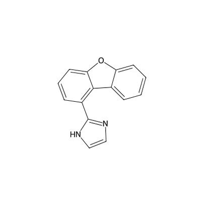 c1ccc2c(c1)oc1cccc(-c3ncc[nH]3)c12